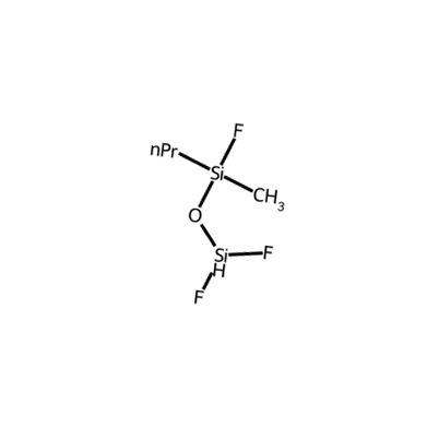 CCC[Si](C)(F)O[SiH](F)F